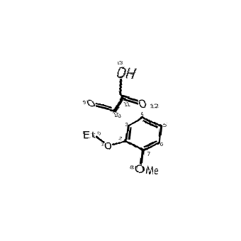 CCOc1ccccc1OC.O=CC(=O)O